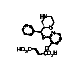 Clc1cccnc1S[C@@H](c1ccccc1)[C@@H]1CNCCO1.O=C(O)C=CC(=O)O